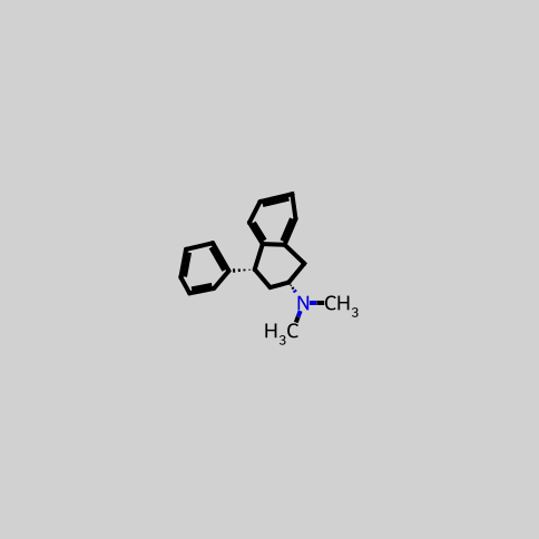 CN(C)[C@H]1Cc2ccccc2[C@@H](c2ccccc2)C1